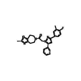 Cc1nc2c(o1)CCN(C(=O)Cn1nc(-c3ccc(F)c(C)c3)cc1-c1ccccc1)CC2